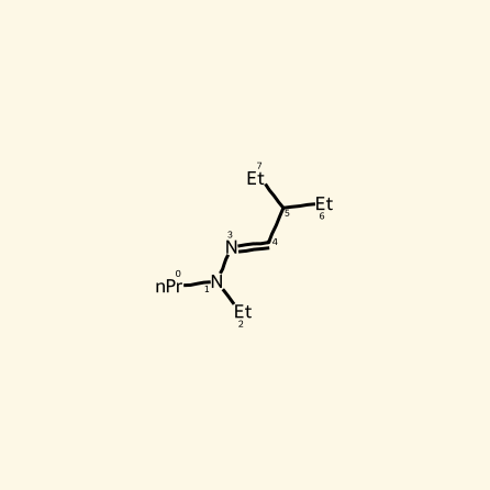 CCCN(CC)N=CC(CC)CC